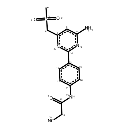 CS(=O)(=O)Cc1cc(N)nc(-c2ccc(NC(=O)CC#N)cc2)n1